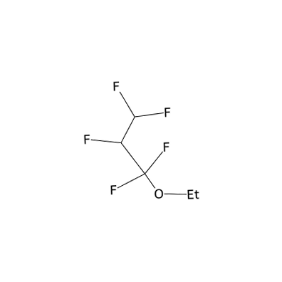 CCOC(F)(F)C(F)C(F)F